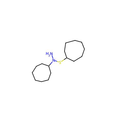 NN(SC1CCCCCCC1)C1CCCCCCC1